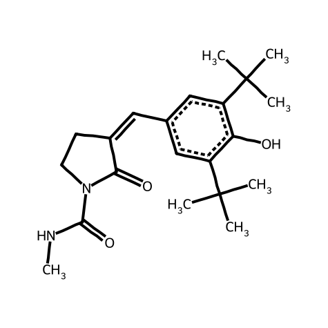 CNC(=O)N1CC/C(=C/c2cc(C(C)(C)C)c(O)c(C(C)(C)C)c2)C1=O